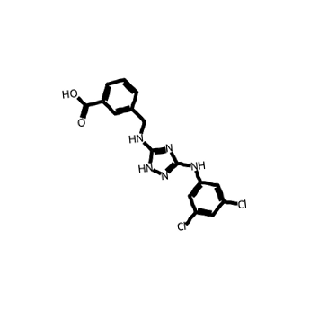 O=C(O)c1cccc(CNc2nc(Nc3cc(Cl)cc(Cl)c3)n[nH]2)c1